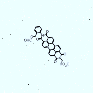 O=COCc1ccccc1N1C(=O)c2ccc3c4ccc5c6c(ccc(c7ccc(c2c37)C1=O)c64)C(=O)N(CC(=O)O)C5=O